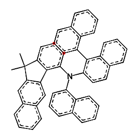 CC1(C)c2cc3ccccc3cc2-c2c(N(c3ccc4ccccc4c3-c3cccc4ccccc34)c3cccc4ccccc34)cccc21